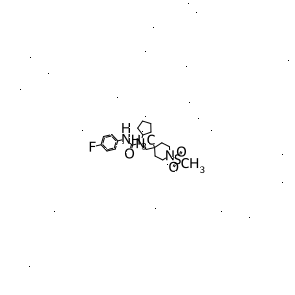 CC1(CN(C(=O)Nc2ccc(F)cc2)C2CCCC2)CCN(S(C)(=O)=O)CC1